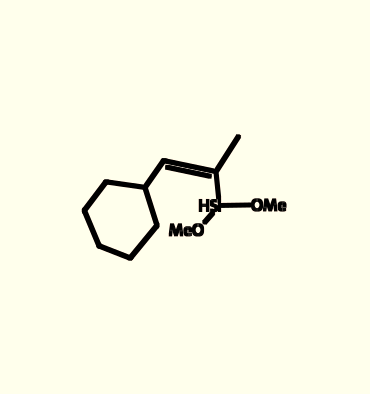 CO[SiH](OC)C(C)=CC1CCCCC1